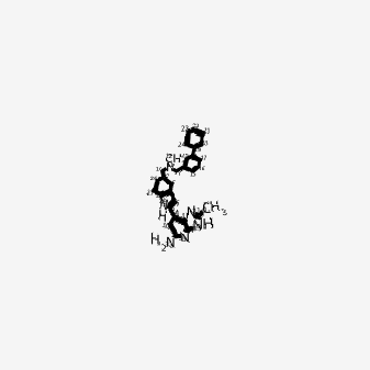 Cc1nc2c(-c3cc4cc(CN(C)Cc5cccc(-c6ccccc6)c5)ccc4[nH]3)cc(N)nc2[nH]1